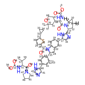 COC(=O)NC(C(=O)N1[C@@H]2C[C@@H]2C[C@H]1c1ncc(-c2ccc3c(c2)cc2n3C(c3ccc(C4CC4)s3)Oc3cc(-c4cnc([C@@H]5CCCN5C(=O)[C@@H](NC(=O)OC)C(C)C)[nH]4)cc(C)c3-2)[nH]1)C1CCOC(C)(C)C1